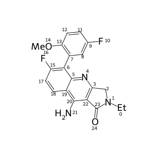 CCN1Cc2nc3c(-c4cc(F)ccc4OC)c(F)ccc3c(N)c2C1=O